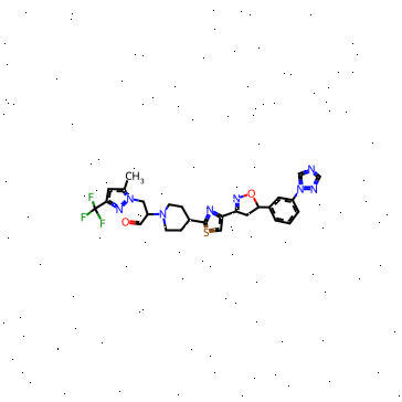 Cc1cc(C(F)(F)F)nn1CC(C=O)N1CCC(c2nc(C3=NOC(c4cccc(-n5cncn5)c4)C3)cs2)CC1